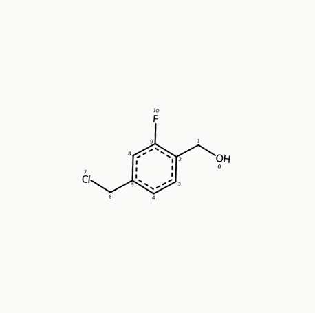 OCc1ccc(CCl)cc1F